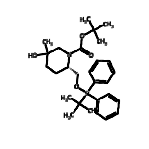 CC1(O)CC[C@@H](CO[Si](c2ccccc2)(c2ccccc2)C(C)(C)C)N(C(=O)OC(C)(C)C)C1